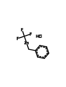 Cl.F[C](F)(F)[Zn][CH2]c1ccccc1